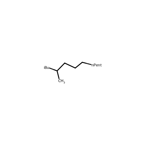 [CH2]CC(C)C(C)CCCCCCCC